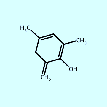 C=C1CC(C)=CC(C)=C1O